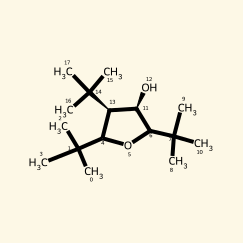 CC(C)(C)C1OC(C(C)(C)C)[C@H](O)[C@@H]1C(C)(C)C